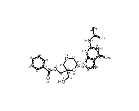 CC(C)C(=O)Nc1nc2c(ncn2[C@H]2COC[C@@](CO)(COC(=O)c3ccccc3)O2)c(=O)[nH]1